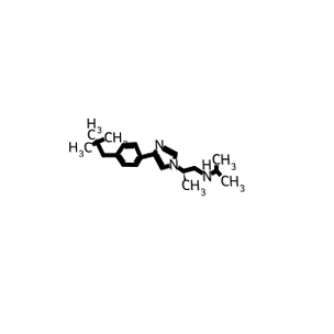 CC(C)NC[C@H](C)n1cnc(-c2ccc(CC(C)(C)C)cc2)c1